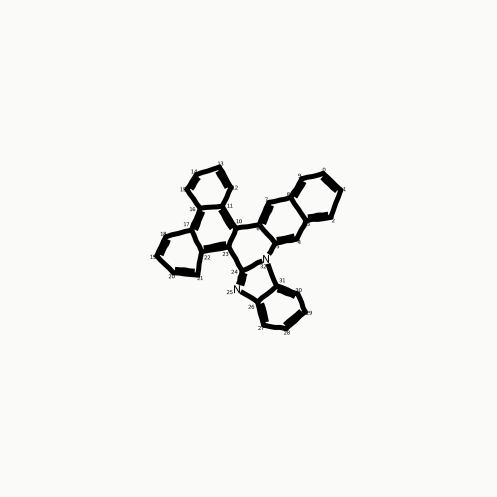 c1ccc2cc3c(cc2c1)c1c2ccccc2c2ccccc2c1c1nc2ccccc2n31